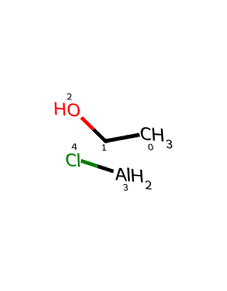 CCO.[AlH2][Cl]